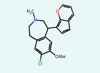 COc1cc2c(cc1Cl)CCN(C)CC2c1ccc2cccoc1-2